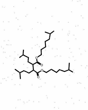 CC(C)CCCCCOC(=O)C(CCC(C)C)C(CCC(C)C)C(=O)OCCCCCC(C)C